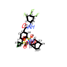 O=C(Nc1cc(F)c(F)c(F)c1)c1ccc(Cl)c(S(=O)(=O)[C@H]2CC3CCC(C2)[C@]3(O)CNS(=O)(=O)C2CC2)c1